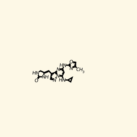 Cc1coc(Nc2cc(NC3CC3)n3ncc(/C=C4/CNC(=O)N4)c3n2)n1